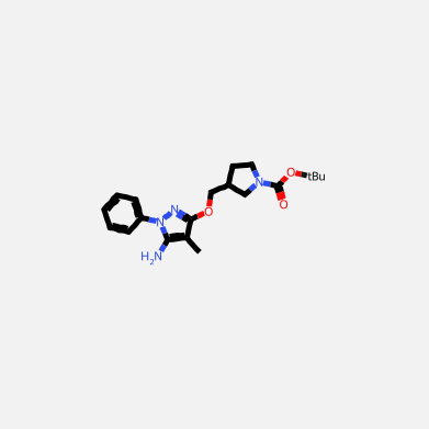 Cc1c(OCC2CCN(C(=O)OC(C)(C)C)C2)nn(-c2ccccc2)c1N